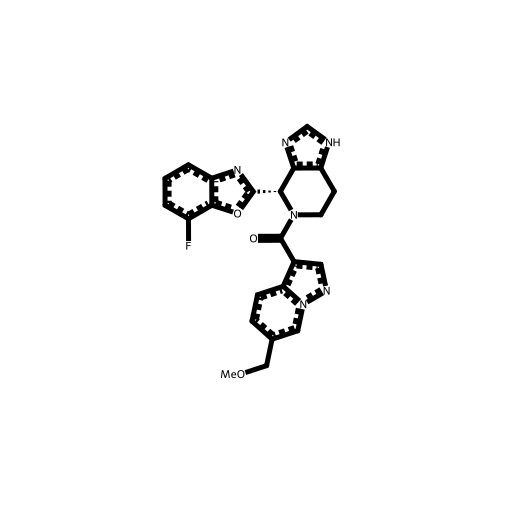 COCc1ccc2c(C(=O)N3CCc4[nH]cnc4[C@H]3c3nc4cccc(F)c4o3)cnn2c1